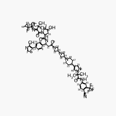 Cc1ncsc1-c1ccc([C@H](CC(=O)N2CC(N3CC(N4CCC(c5cnn(C(C)(C)C(=O)Nc6ccc(C#N)c(C(F)(F)F)c6)c5)CC4)C3)C2)NC(=O)[C@@H]2C[C@@H](O)CN2C(=O)/C(=N/C(=O)C2(F)CC2)C(C)(C)C)cc1